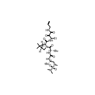 C=CCNC(=O)C(=O)C(CC)NC(=O)[C@@H]1[C@@H]2[C@H](CN1C(=O)[C@@H](NC(=O)N[C@H](CN(C)S(=O)(=O)N(C)C)C(C)(C)C)C(C)(C)C)C2(C)C